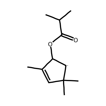 CC1=CC(C)(C)[CH]C1OC(=O)C(C)C